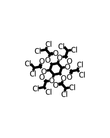 O=C(OC1C(OC(=O)C(Cl)Cl)C(OC(=O)C(Cl)Cl)C(OC(=O)C(Cl)Cl)C(OC(=O)C(Cl)Cl)C1OC(=O)C(Cl)Cl)C(Cl)Cl